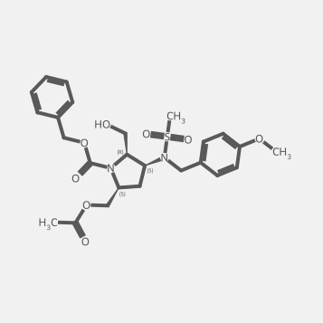 COc1ccc(CN([C@H]2C[C@@H](COC(C)=O)N(C(=O)OCc3ccccc3)[C@H]2CO)S(C)(=O)=O)cc1